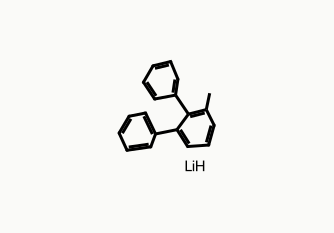 Cc1cccc(-c2ccccc2)c1-c1ccccc1.[LiH]